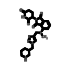 CN(Cc1cn(CC2CCCNC2)nn1)c1cccc2c1C(=O)N(C1CCC(=O)NC1=O)C2=O